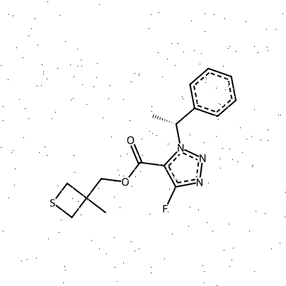 C[C@H](c1ccccc1)n1nnc(F)c1C(=O)OCC1(C)CSC1